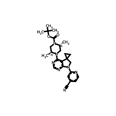 C[C@@H]1CN(c2ncnc3c2C2(CC2)CN3c2cc(C#N)ccn2)[C@@H](C)CN1C(=O)OC(C)(C)C